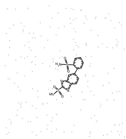 CCCS(=O)(=O)c1nc2ccc(-c3ccccc3S(N)(=O)=O)cc2s1